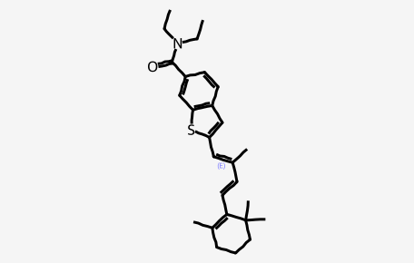 CCN(CC)C(=O)c1ccc2cc(/C=C(\C)C=CC3=C(C)CCCC3(C)C)sc2c1